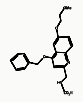 COCCOc1ccc2nc(CNC(=O)O)cc(OCc3ccccc3)c2c1